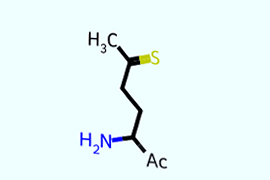 CC(=O)C(N)CCC(C)=S